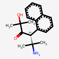 CC(C)(O)C(=O)[C@H](c1cccc2ccccc12)C(C)(C)N